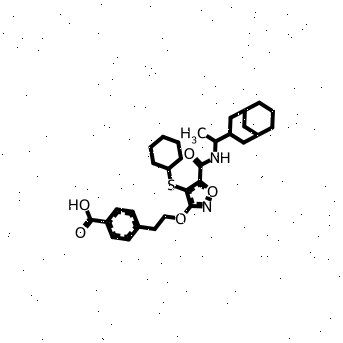 CC(NC(=O)c1onc(OCCc2ccc(C(=O)O)cc2)c1SC1CCCCC1)C1CC2CCCC(C2)C1